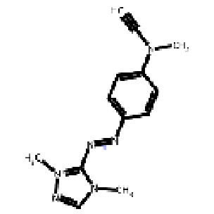 C#CN(C)c1ccc(/N=N/c2n(C)cn[n+]2C)cc1